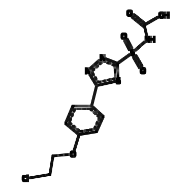 O=C(O)NS(=O)(=O)c1nnc(-c2ccc(OCCCl)cc2)s1